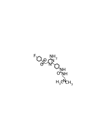 CN(C)CCNC(=O)Nc1ccc(-c2nc(N)cc(CS(=O)(=O)c3ccc(F)cc3)n2)cc1